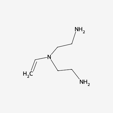 C=CN(CCN)CCN